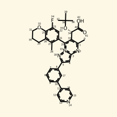 Cc1nc2cc(-c3cccc(-c4ccncc4)c3)nn2c(-c2cc(F)c3c(c2C)CCCO3)c1[C@H](OC(C)(C)C)C(=O)O